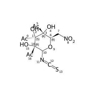 CC(=O)[C@]1(O)[C@@](O)(C(C)=O)[C@@H](C[N+](=O)[O-])OC(N=C=S)[C@@]1(O)C(C)=O